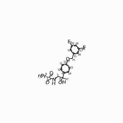 CCCS(=O)(=O)NCC(C)(O)c1ccc(OCc2cc(F)cc(F)c2)cc1